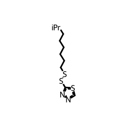 CC(C)CCCCCCSSc1nncs1